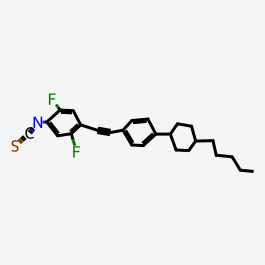 CCCCCC1CCC(c2ccc(C#Cc3cc(F)c(N=C=S)cc3F)cc2)CC1